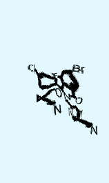 N#Cc1ccc(CN2C(=O)c3cc(Br)cc(F)c3[C@]2(OCC2(C#N)CC2)c2ccc(Cl)cc2)nc1